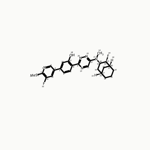 CSc1ncc(-c2ccc(-c3ncc(N(C)[C@@H]4C[C@H]5CCC[C@H](C5)[C@@H]4F)nn3)c(O)c2)cc1F